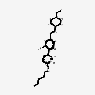 CCCCCOc1ccc(-c2ccc(CCC3CCC(CC)CC3)cc2F)nn1